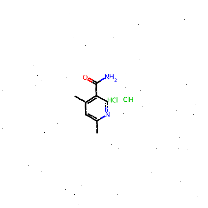 Cc1cc(C)c(C(N)=O)cn1.Cl.Cl